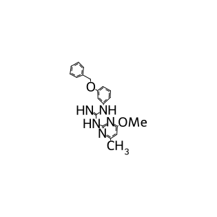 COc1cc(C)nc(NC(=N)Nc2cccc(OCc3ccccc3)c2)n1